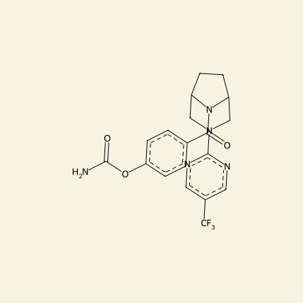 NC(=O)Oc1ccc(C(=O)N2C3CCC2CN(c2ncc(C(F)(F)F)cn2)C3)cc1